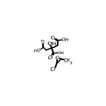 CC1OC1Cl.O=C(O)CC(O)(CC(=O)O)C(=O)O